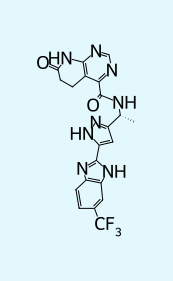 C[C@@H](NC(=O)c1ncnc2c1CCC(=O)N2)c1cc(-c2nc3ccc(C(F)(F)F)cc3[nH]2)[nH]n1